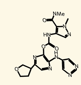 CNC(=O)c1c(NC(=O)Oc2nc(C3CCOC3)cnc2Nc2cncnc2)cnn1C